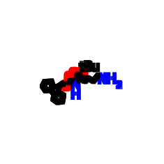 CC(C)(C)OC(=O)[C@@H](CCCCN)NC(=O)OCC1c2ccccc2-c2ccccc21